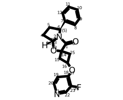 O=C1N2[C@@H](CC[C@H]2c2ccccc2)OC12CC(Oc1ccncc1F)C2